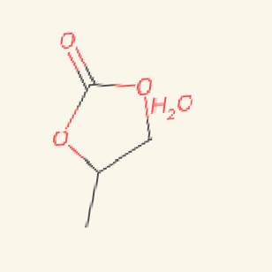 CC1COC(=O)O1.O